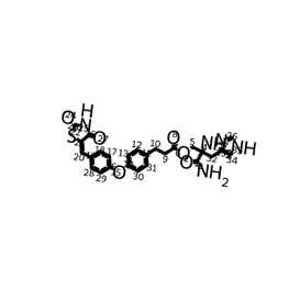 NC(=O)C(N)(COC(=O)CCc1ccc(Oc2ccc(C=C3SC(=O)NC3=O)cc2)cc1)Cc1c[nH]cn1